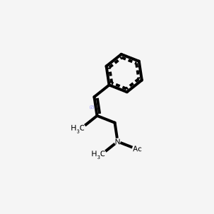 CC(=O)N(C)C/C(C)=C\c1ccccc1